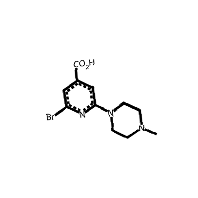 CN1CCN(c2cc(C(=O)O)cc(Br)n2)CC1